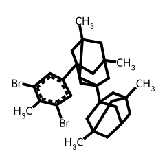 Cc1c(Br)cc(C23CC4(C)CC(C)(C2)CC(C25CC6CC(C)(CC(C)(C6)C2)C5)(C4)C3)cc1Br